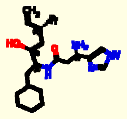 C=C[C@@H](C[C@H](O)[C@H](CC1CCCCC1)NC(=O)C[C@H](N)c1c[nH]cn1)C(C)C